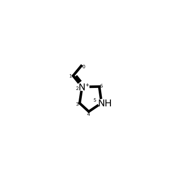 CC=[N+]1CCNC1